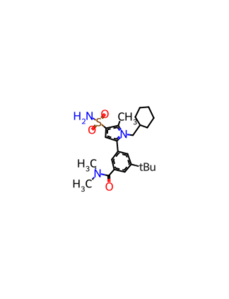 Cc1c(S(N)(=O)=O)cc(-c2cc(C(=O)N(C)C)cc(C(C)(C)C)c2)n1CC1CCCCC1